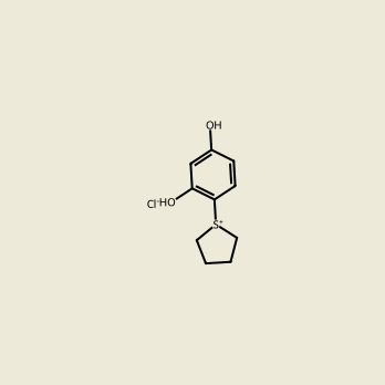 Oc1ccc([S+]2CCCC2)c(O)c1.[Cl-]